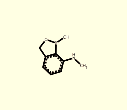 CNc1cccc2c1B(O)OC2